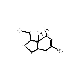 CCC1OCC2CC(C)=CC(C)C21C